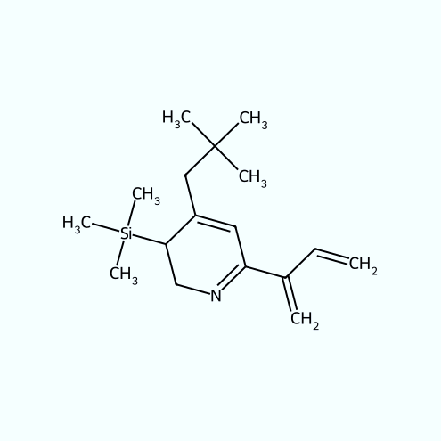 C=CC(=C)C1=NCC([Si](C)(C)C)C(CC(C)(C)C)=C1